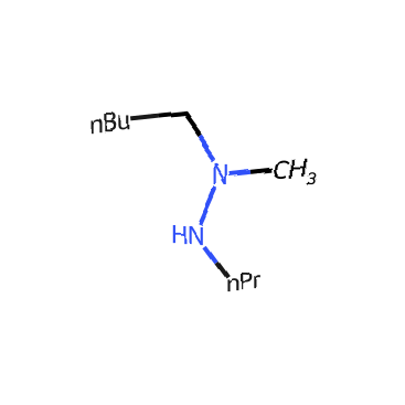 CCCCCN(C)NCCC